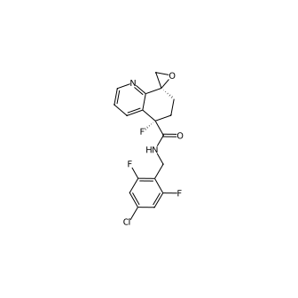 O=C(NCc1c(F)cc(Cl)cc1F)[C@]1(F)CC[C@@]2(CO2)c2ncccc21